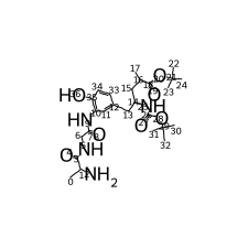 CC(N)C(=O)NCC(=O)Nc1cc(CC(CC(C)C(=O)OC(C)(C)C)NC(=O)OC(C)(C)C)ccc1O